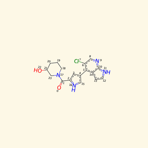 O=C(c1cc(-c2c(Cl)cnc3[nH]ccc23)c[nH]1)N1CCCC(O)C1